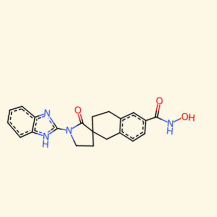 O=C(NO)c1ccc2c(c1)CCC1(CCN(c3nc4ccccc4[nH]3)C1=O)C2